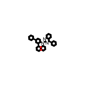 c1ccc(-c2ccc(N(c3ccccc3)c3nc(-c4ccccc4)c4ccccc4n3)c(-c3ccccc3)c2)cc1